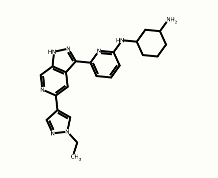 CCn1cc(-c2cc3c(-c4cccc(NC5CCCC(N)C5)n4)n[nH]c3cn2)cn1